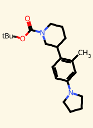 Cc1cc(N2CCCC2)ccc1C1CCCN(C(=O)OC(C)(C)C)C1